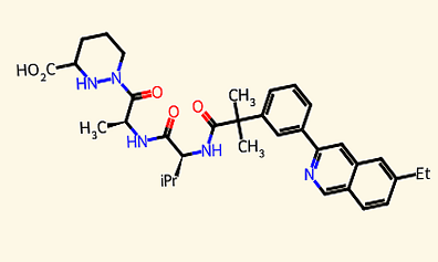 CCc1ccc2cnc(-c3cccc(C(C)(C)C(=O)N[C@H](C(=O)N[C@@H](C)C(=O)N4CCCC(C(=O)O)N4)C(C)C)c3)cc2c1